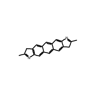 CC1=Nc2cc3cc4cc5c(cc4cc3cc2C1)N=C(C)C5